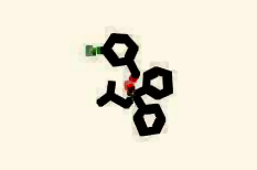 CC(C)C[Si](OCc1cccc(Br)c1)(c1ccccc1)c1ccccc1